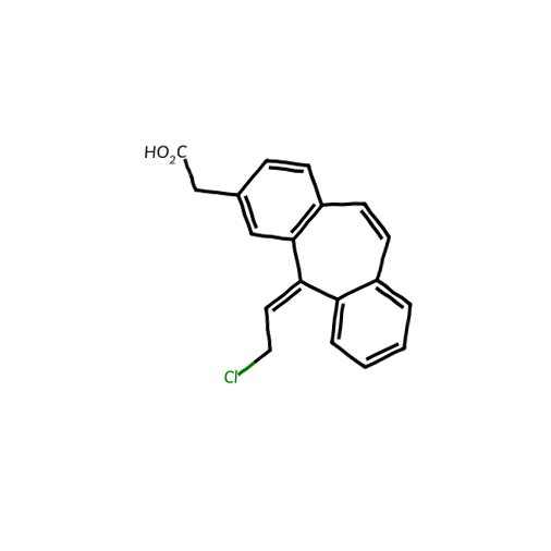 O=C(O)Cc1ccc2c(c1)/C(=C/CCl)c1ccccc1C=C2